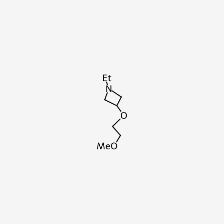 CCN1CC(OCCOC)C1